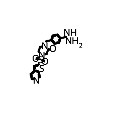 N=C(N)c1ccc(CN2CCN(S(=O)(=O)c3cc4ccncc4s3)CC2=O)cc1